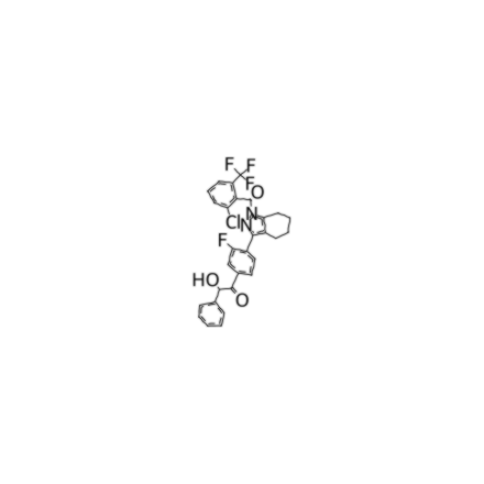 O=C(c1ccc(-c2nn(C(=O)c3c(Cl)cccc3C(F)(F)F)c3c2CCCC3)c(F)c1)C(O)c1ccccc1